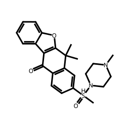 CN1CCN([SH](C)(=O)c2ccc3c(c2)C(C)(C)c2oc4ccccc4c2C3=O)CC1